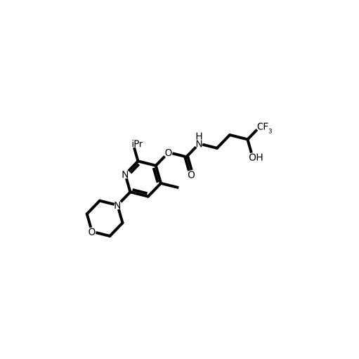 Cc1cc(N2CCOCC2)nc(C(C)C)c1OC(=O)NCCC(O)C(F)(F)F